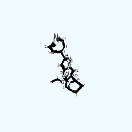 CCOC(=O)N1C2CCC1c1cn3nc(-c4ccncc4)cc3nc1C2